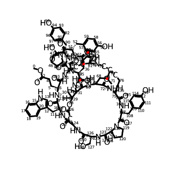 COC(=O)CC[C@@H]1NC(=O)[C@H](Cc2c[nH]c3ccccc23)NC(=O)C2CC(=O)O[C@H](C)[C@H](NC(=O)[C@H](CCC(N)=O)NC(=O)[C@@H]3CCCN3C(=O)[C@H](Cc3ccc(O)cc3)NC(C)=O)C(=O)N[C@@H](CC(C)C)C(=O)N[C@@H](CCCCNC(=O)CC[C@H](C(=O)N[C@@H](Cc3ccc(O)cc3)C(=O)O)NC1=O)C(=O)N[C@@H](Cc1ccc(O)cc1)C(=O)N1CCC[C@H]1C(=O)N[C@@H](CO)C(=O)N2